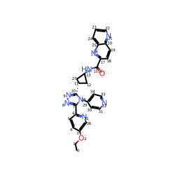 CCOc1ccc(-c2nnc([C@H]3C[C@H](NC(=O)c4ccc5ncccc5n4)C3)n2-c2ccncc2)nc1